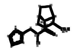 CCN(Cc1cccs1)C(=O)N1C2CCC1C(C(=O)O)NC2